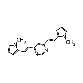 Cn1cccc1/C=C/c1cc(/C=C/c2cccn2C)ncn1